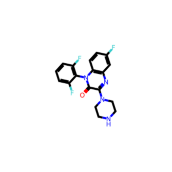 O=c1c(N2CCNCC2)nc2cc(F)ccc2n1-c1c(F)cccc1F